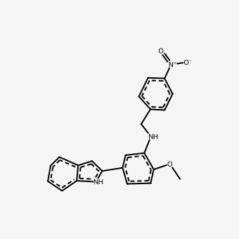 COc1ccc(-c2cc3ccccc3[nH]2)cc1NCc1ccc([N+](=O)[O-])cc1